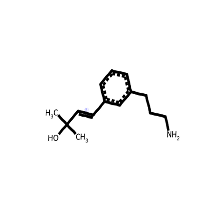 CC(C)(O)/C=C/c1cccc(CCCN)c1